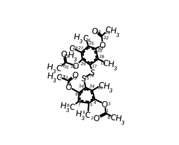 CC(=O)Oc1c(C)c(C)c(OC(C)=O)c(SSc2c(C)c(OC(C)=O)c(C)c(C)c2OC(C)=O)c1C